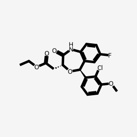 CCOC(=O)C[C@H]1O[C@H](c2cccc(OC)c2Cl)c2cc(F)ccc2NC1=O